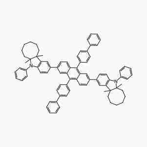 CC12CCCCCCC1(C)N(c1ccccc1)c1ccc(-c3ccc4c(-c5ccc(-c6ccccc6)cc5)c5cc(-c6ccc7c(c6)C6(C)CCCCCCC6(C)N7c6ccccc6)ccc5c(-c5ccc(-c6ccccc6)cc5)c4c3)cc12